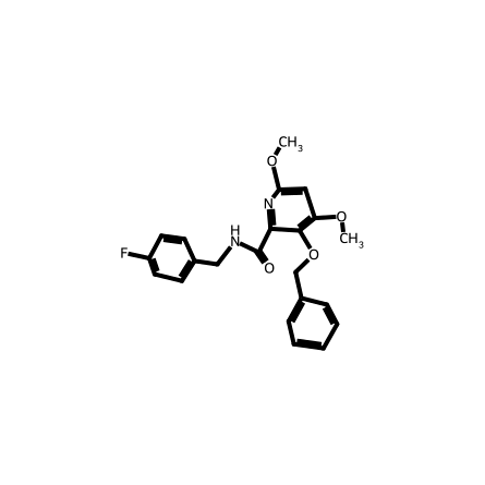 COc1cc(OC)c(OCc2ccccc2)c(C(=O)NCc2ccc(F)cc2)n1